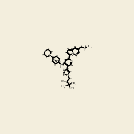 C=NCc1cnn2c(-c3cc(NC45CCC(N6CCOCC6)(CC4)CC5)c(-c4cn(C[C@@H](F)C(C)(C)O)nn4)cn3)ccc2c1